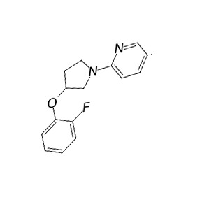 Fc1ccccc1OC1CCN(c2cc[c]cn2)C1